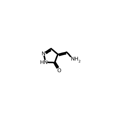 NC=C1C=NNC1=O